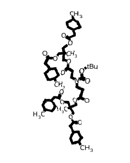 CC1CCC(CC(=O)OCC(C)(COC(=O)CCN(CCC(=O)OCC(C)(COC(=O)CC2CCC(C)CC2)COC(=O)CC2CCC(C)CC2)C(=O)OC(C)(C)C)COC(=O)CC2CCC(C)CC2)CC1